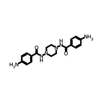 Nc1ccc(C(=O)NN2CCN(NC(=O)c3ccc(N)cc3)CC2)cc1